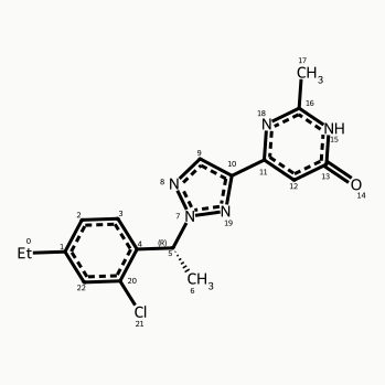 CCc1ccc([C@@H](C)n2ncc(-c3cc(=O)[nH]c(C)n3)n2)c(Cl)c1